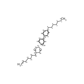 CCCCCCCc1ccc(-c2ccc([C@H]3CO[C@H](CCCCCCC)CO3)cc2)cc1